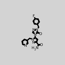 NC(=O)c1cc(-n2cnn(Cc3ccc(F)cc3)c2=O)n(Cc2cccnc2)n1